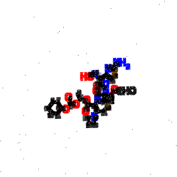 CC(OC(=O)OC1CCCCC1)OC(=O)C1=C(N2CCC2)CS[C@@H]2N1C(=O)C2(COC=O)NC(=O)/C(=N\O)c1csc(N)n1